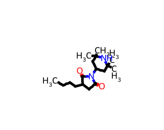 CCCCC1CC(=O)N(C2CC(C)(C)NC(C)(C)C2)C1=O